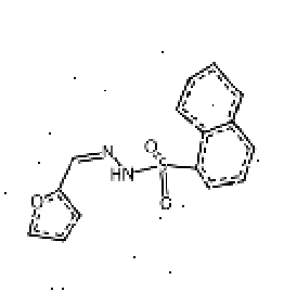 O=S(=O)(N/N=C\c1ccco1)c1cccc2ccccc12